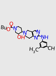 Cc1cc(C)cc(Nc2ncc3c(n2)CCN(C2CCN(C(=O)OC(C)(C)C)CC2O)C3)c1